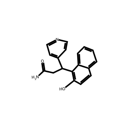 NC(=O)CC(c1ccncc1)c1c(O)ccc2ccccc12